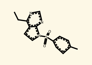 CCc1ncnc2c1ccn2S(=O)(=O)c1ccc(C)cc1